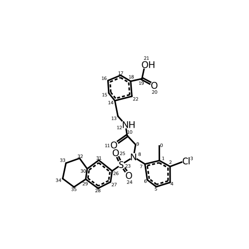 Cc1c(Cl)cccc1N(CC(=O)NCc1cccc(C(=O)O)c1)S(=O)(=O)c1ccc2c(c1)CCCC2